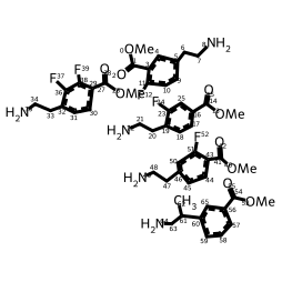 COC(=O)c1cc(CCN)ccc1F.COC(=O)c1ccc(CCN)c(F)c1.COC(=O)c1ccc(CCN)c(F)c1F.COC(=O)c1ccc(CCN)cc1F.COC(=O)c1cccc(C(C)CN)c1